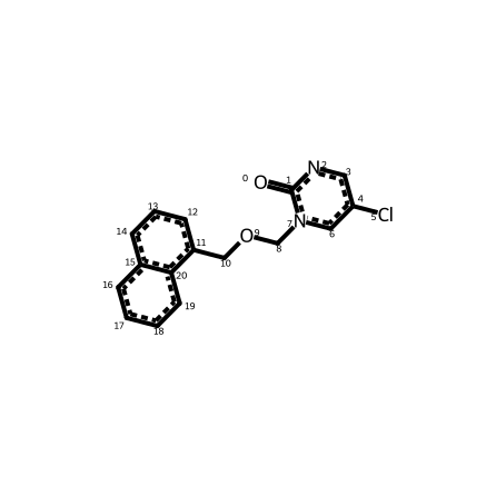 O=c1ncc(Cl)cn1COCc1cccc2ccccc12